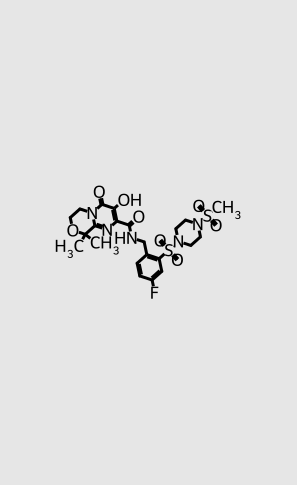 CC1(C)OCCn2c1nc(C(=O)NCc1ccc(F)cc1S(=O)(=O)N1CCN(S(C)(=O)=O)CC1)c(O)c2=O